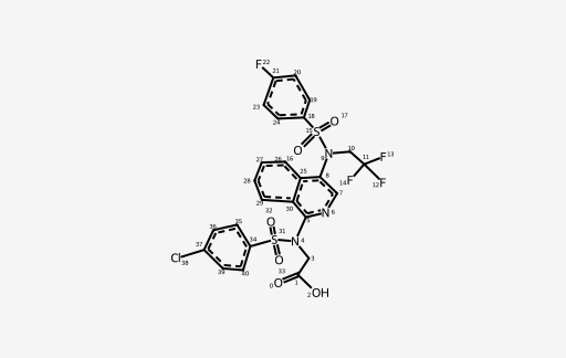 O=C(O)CN(c1ncc(N(CC(F)(F)F)S(=O)(=O)c2ccc(F)cc2)c2ccccc12)S(=O)(=O)c1ccc(Cl)cc1